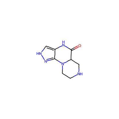 O=C1Nc2c[nH]nc2N2CCNCC12